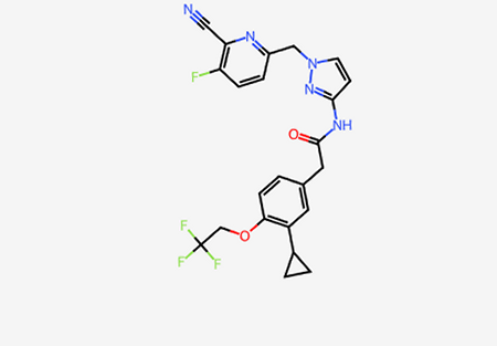 N#Cc1nc(Cn2ccc(NC(=O)Cc3ccc(OCC(F)(F)F)c(C4CC4)c3)n2)ccc1F